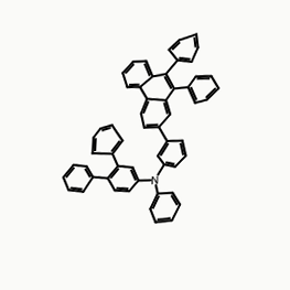 c1ccc(-c2ccc(N(c3ccccc3)c3cccc(-c4ccc5c(c4)c(-c4ccccc4)c(-c4ccccc4)c4ccccc45)c3)cc2-c2ccccc2)cc1